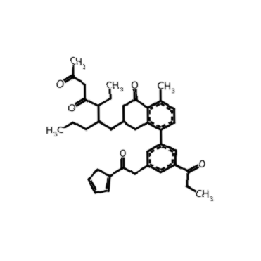 CCCC(CC1CC(=O)c2c(C)ccc(-c3cc(CC(=O)C4=CC=CC4)cc(C(=O)CC)c3)c2C1)C(CC)C(=O)CC(C)=O